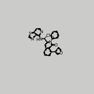 C[C@H](Nc1nccc2scnc12)c1cc2cccc(-c3ccoc3)c2c(=O)n1-c1ccccc1